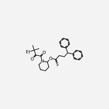 CCC(C)(C)C(=O)C(=O)N1CCCCC1OC(=S)CCC(c1ccccc1)c1ccccc1